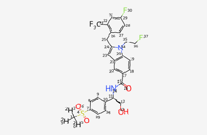 [2H]C([2H])([2H])S(=O)(=O)c1ccc([C@H](CO)NC(=O)c2ccc3c(c2)cc(Cc2ccc(F)cc2C(F)(F)F)n3CCF)cc1